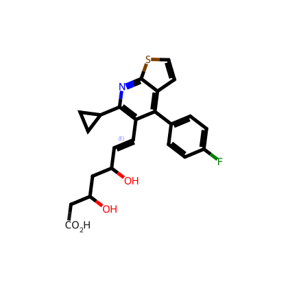 O=C(O)CC(O)CC(O)/C=C/c1c(C2CC2)nc2sccc2c1-c1ccc(F)cc1